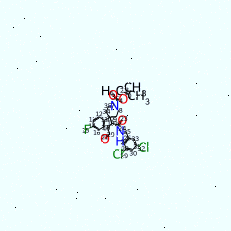 CC(C)(C)OC(=O)N1CCC(c2ccc(F)cc2)(C(CC=O)C(=O)NCc2cc(Cl)cc(Cl)c2)CC1